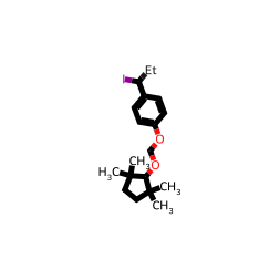 CCC(I)c1ccc(OCOC2C(C)(C)CCC2(C)C)cc1